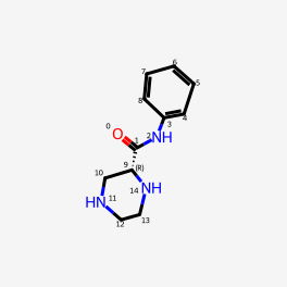 O=C(Nc1ccccc1)[C@H]1CNCCN1